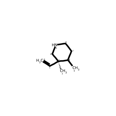 C=C[C@@]1(C)CNCCC1C